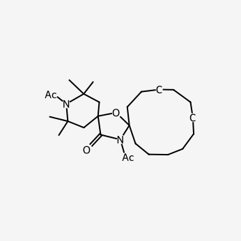 CC(=O)N1C(C)(C)CC2(CC1(C)C)OC1(CCCCCCCCCCC1)N(C(C)=O)C2=O